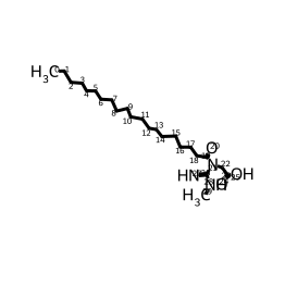 CCCCCCCCCCCCCCCCCCCC(=O)N(CC(=O)O)C(=N)NC